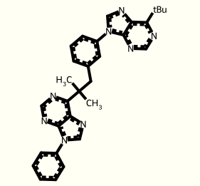 CC(C)(C)c1ncnc2c1ncn2-c1cccc(CC(C)(C)c2ncnc3c2ncn3-c2ccccc2)c1